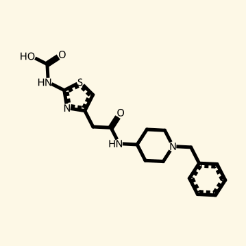 O=C(O)Nc1nc(CC(=O)NC2CCN(Cc3ccccc3)CC2)cs1